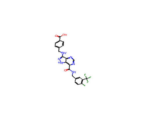 O=C(O)c1ccc(CNc2n[nH]c3c(C(=O)NCc4ccc(F)c(C(F)(F)F)c4)ncnc23)cc1